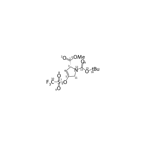 COC(=O)[C@H]1C=C(OS(=O)(=O)C(F)(F)F)CN1C(=O)OC(C)(C)C